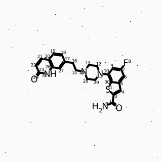 NC(=O)c1cc2cc(F)cc(N3CCN(CCc4ccc5ccc(=O)[nH]c5c4)CC3)c2s1